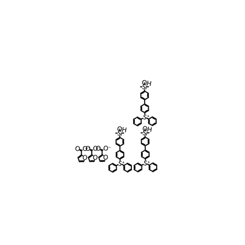 C[Si](C)(O)c1ccc(-c2ccc([S+](c3ccccc3)c3ccccc3)cc2)cc1.C[Si](C)(O)c1ccc(-c2ccc([S+](c3ccccc3)c3ccccc3)cc2)cc1.C[Si](C)(O)c1ccc(-c2ccc([S+](c3ccccc3)c3ccccc3)cc2)cc1.O=C([O-])c1ccco1.O=C([O-])c1ccco1.O=C([O-])c1ccco1